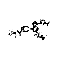 CC1(NS(=O)(=O)c2cc(N3CC4CC(C3)N(C(=O)OC(C)(C)C)C4)c3cnc(-c4nnc(C(F)F)s4)n3c2)CC1